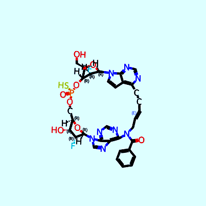 O=C(c1ccccc1)N1C/C=C/CCc2ncnc3c2ccn3[C@@H]2O[C@H](CO)[C@@H](OP(=O)(S)OC[C@H]3O[C@H]([C@H](F)[C@@H]3O)n3cnc4c1ncnc43)[C@H]2F